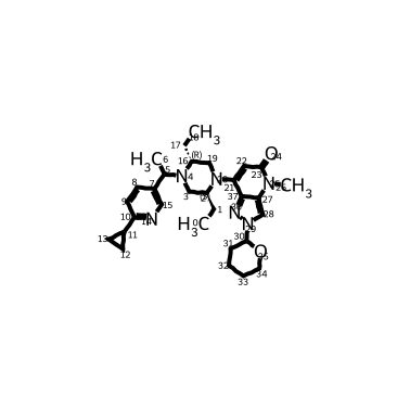 CC[C@H]1CN(C(C)c2ccc(C3CC3)nc2)[C@H](CC)CN1c1cc(=O)n(C)c2cn(C3CCCCO3)nc12